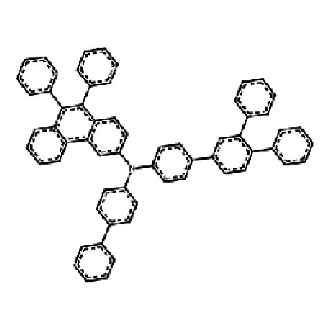 c1ccc(-c2ccc(N(c3ccc(-c4ccc(-c5ccccc5)c(-c5ccccc5)c4)cc3)c3ccc4c(-c5ccccc5)c(-c5ccccc5)c5ccccc5c4c3)cc2)cc1